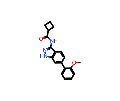 COc1ccccc1-c1ccc2c(NC(=O)C3CCC3)n[nH]c2c1